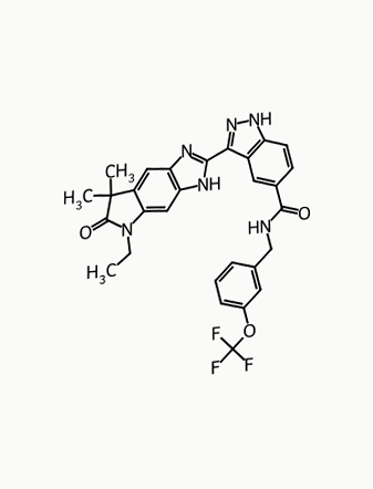 CCN1C(=O)C(C)(C)c2cc3nc(-c4n[nH]c5ccc(C(=O)NCc6cccc(OC(F)(F)F)c6)cc45)[nH]c3cc21